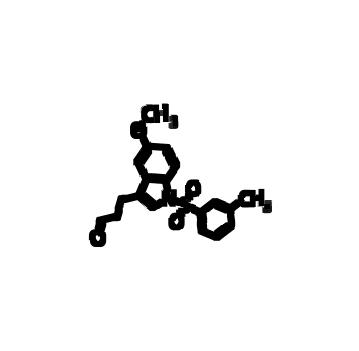 COc1ccc2c(c1)c(CCC=O)cn2S(=O)(=O)c1cccc(C)c1